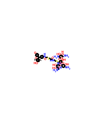 NCC1O[C@H](O[C@@H]2C(N)C[C@@H](N)[C@@H](O)C2O[C@@H]2O[C@H](CSCCNC(=O)CCSCC(=O)Nc3ccc(-c4c5ccc(=O)cc-5oc5cc(O)ccc45)c(C(=O)O)c3)C(O[C@H]3O[C@@H](CN)[C@@H](O)C(O)C3N)[C@@H]2O)C(N)[C@@H](O)[C@@H]1O